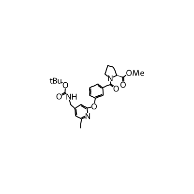 COC(=O)[C@@H]1CCCN1C(=O)c1cccc(Oc2cc(CNC(=O)OC(C)(C)C)cc(C)n2)c1